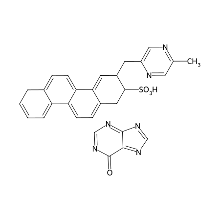 Cc1cnc(CC2C=c3c(ccc4c5c(ccc34)CC=CC=5)CC2S(=O)(=O)O)cn1.O=C1N=CN=C2N=CN=C12